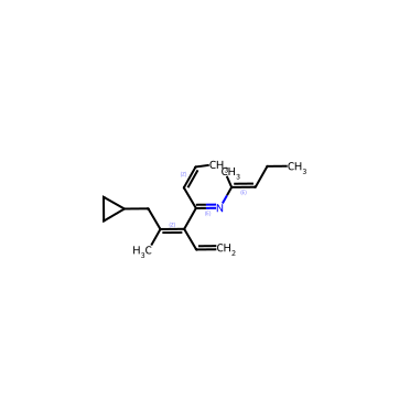 C=CC(=C(\C)CC1CC1)/C(/C=C\C)=N/C(C)=C/CC